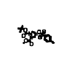 COC(=O)[C@@H]1C[C@@H](OS(=O)(=O)c2ccc(C)cc2)CN1C(=O)OC(C)(C)C